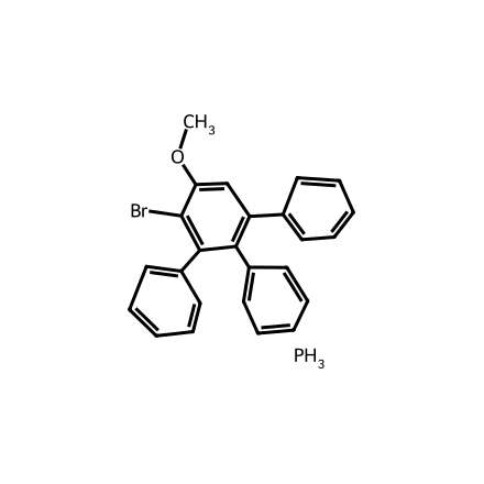 COc1cc(-c2ccccc2)c(-c2ccccc2)c(-c2ccccc2)c1Br.P